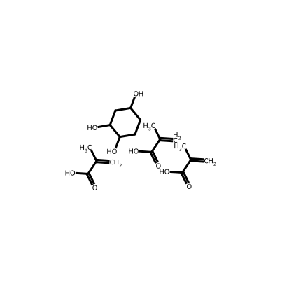 C=C(C)C(=O)O.C=C(C)C(=O)O.C=C(C)C(=O)O.OC1CCC(O)C(O)C1